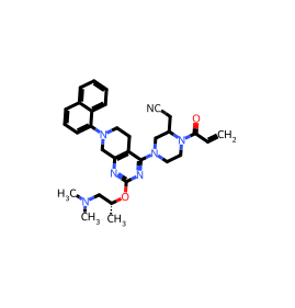 C=CC(=O)N1CCN(c2nc(O[C@H](C)CN(C)C)nc3c2CCN(c2cccc4ccccc24)C3)CC1CC#N